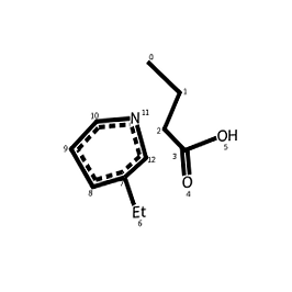 CCCC(=O)O.CCc1cccnc1